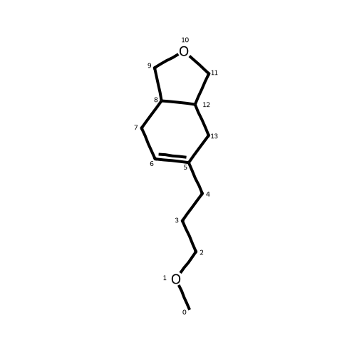 COCCCC1=CCC2COCC2C1